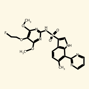 COc1nc(NS(=O)(=O)c2c[nH]c3c(-c4ncccn4)c(C)ccc23)nc(OC)c1OCCF